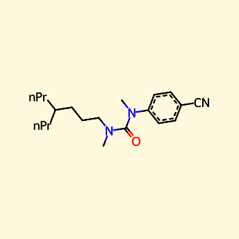 CCCC(CCC)CCCN(C)C(=O)N(C)c1ccc(C#N)cc1